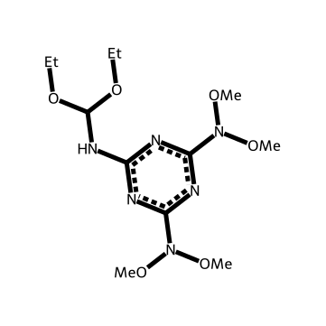 CCOC(Nc1nc(N(OC)OC)nc(N(OC)OC)n1)OCC